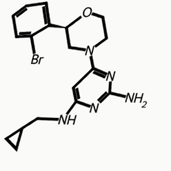 Nc1nc(NCC2CC2)cc(N2CCO[C@H](c3ccccc3Br)C2)n1